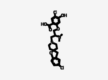 CN(C)C(COc1cc(O)c(Cl)cc1C(=O)O)CN1CCC2(CC1)Cc1cc(Cl)ccc1O2